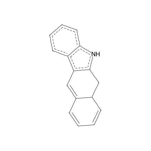 C1=CC2=Cc3c([nH]c4ccccc34)CC2C=C1